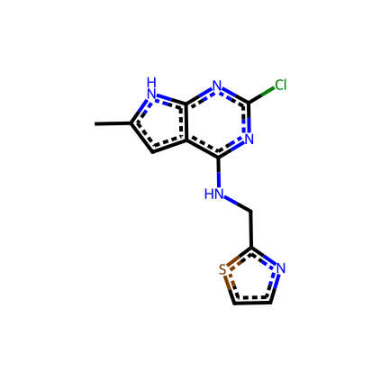 Cc1cc2c(NCc3nccs3)nc(Cl)nc2[nH]1